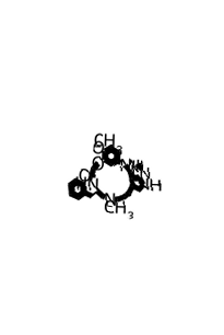 COc1ccc2cc1OCC(=O)N[C@H](Cc1ccccc1)CN(C)CCCC1CNc3ncnc(c31)N2